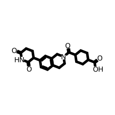 O=C1CCC(c2ccc3c(c2)CN(C(=O)C2CCC(C(=O)O)CC2)CC3)C(=O)N1